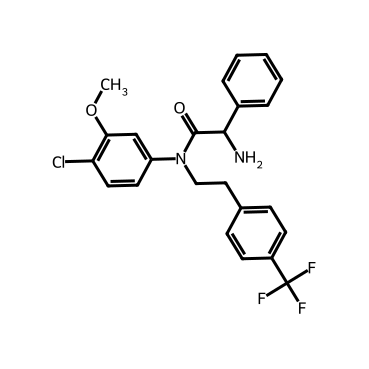 COc1cc(N(CCc2ccc(C(F)(F)F)cc2)C(=O)C(N)c2ccccc2)ccc1Cl